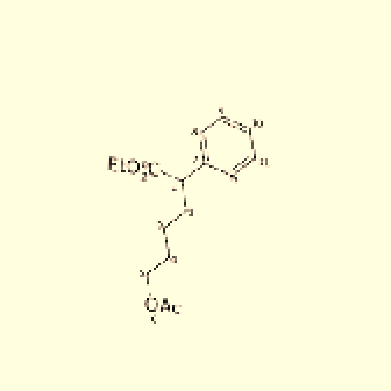 CCOC(=O)C(CCCCOC(C)=O)c1ccccc1